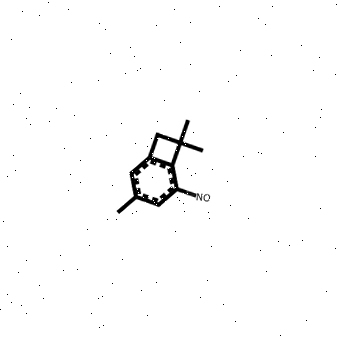 Cc1cc2c(c(N=O)c1)C(C)(C)C2